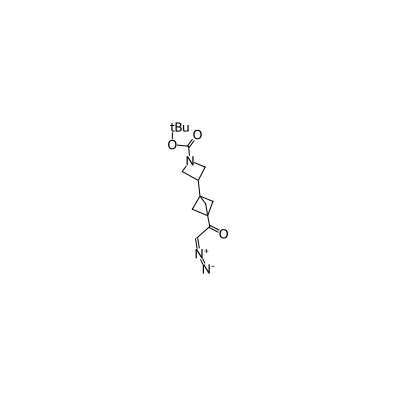 CC(C)(C)OC(=O)N1CC(C23CC(C(=O)C=[N+]=[N-])(C2)C3)C1